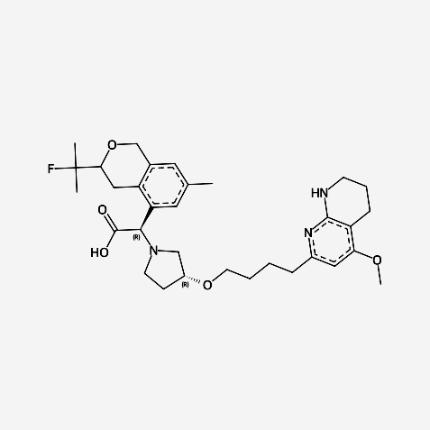 COc1cc(CCCCO[C@@H]2CCN([C@@H](C(=O)O)c3cc(C)cc4c3CC(C(C)(C)F)OC4)C2)nc2c1CCCN2